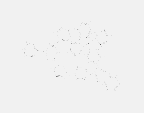 c1ccc(-c2cc(-c3ccccc3)nc(-c3cccc(-c4cccc(-c5cc6c(cc5-c5ccc7ccccc7c5)-c5ccccc5C65c6ccccc6-c6ccccc65)c4)c3)c2)cc1